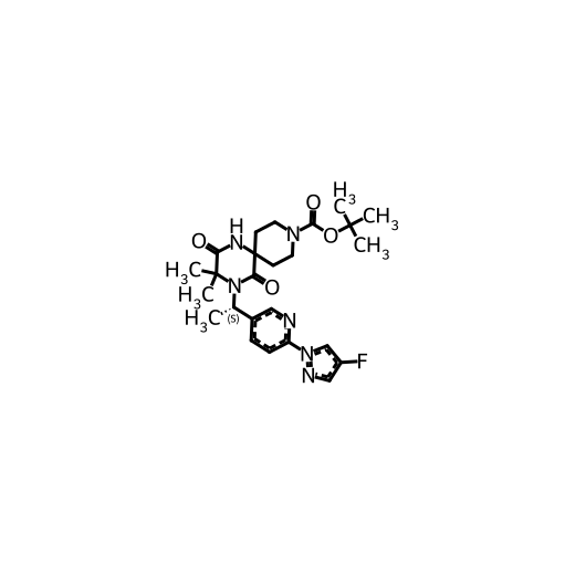 C[C@@H](c1ccc(-n2cc(F)cn2)nc1)N1C(=O)C2(CCN(C(=O)OC(C)(C)C)CC2)NC(=O)C1(C)C